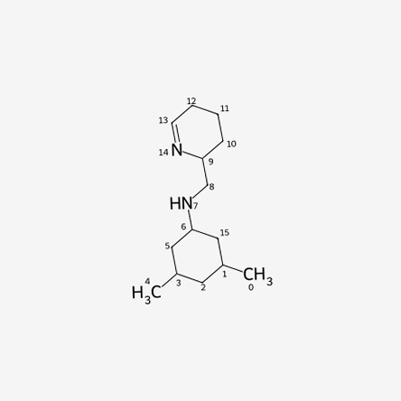 CC1CC(C)CC(NCC2CCCC=N2)C1